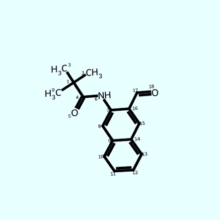 CC(C)(C)C(=O)Nc1cc2ccccc2cc1C=O